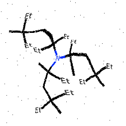 CCC(C)(CC)CC(C)(CC)N(C(C)(CC)CC(C)(CC)CC)C(CC)(CC)CC(C)(CC)CC